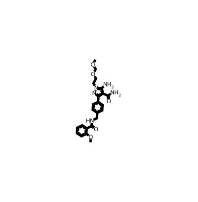 COCOCCn1nc(-c2ccc(CNC(=O)c3ccccc3OC)cc2)c(C(N)=O)c1N